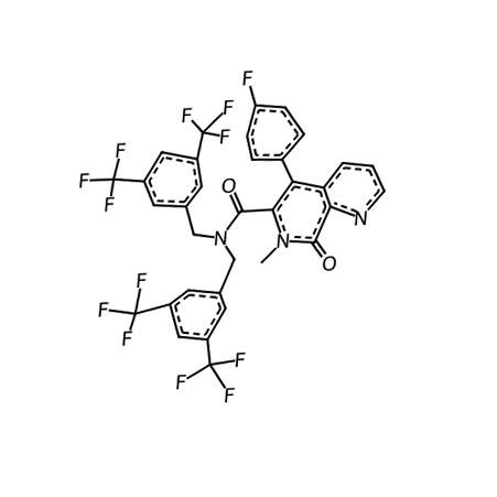 Cn1c(C(=O)N(Cc2cc(C(F)(F)F)cc(C(F)(F)F)c2)Cc2cc(C(F)(F)F)cc(C(F)(F)F)c2)c(-c2ccc(F)cc2)c2cccnc2c1=O